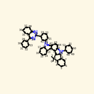 CC1(C)c2ccccc2-c2c1c1c3c4ccccc4n(-c4cccc(-c5nc(-c6ccccc6)c6ccccc6n5)c4)c3ccc1n2-c1ccccc1